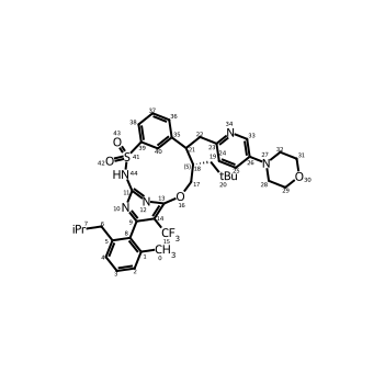 Cc1cccc(CC(C)C)c1-c1nc2nc(c1C(F)(F)F)OC[C@@H](CC(C)(C)C)C(Cc1ccc(N3CCOCC3)cn1)c1cccc(c1)S(=O)(=O)N2